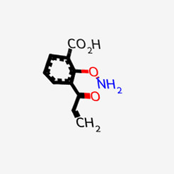 C=CC(=O)c1cccc(C(=O)O)c1ON